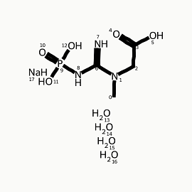 CN(CC(=O)O)C(=N)NP(=O)(O)O.O.O.O.O.[NaH]